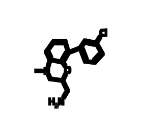 CN1CC(CN)Oc2c(-c3cccc(Cl)c3)cccc21